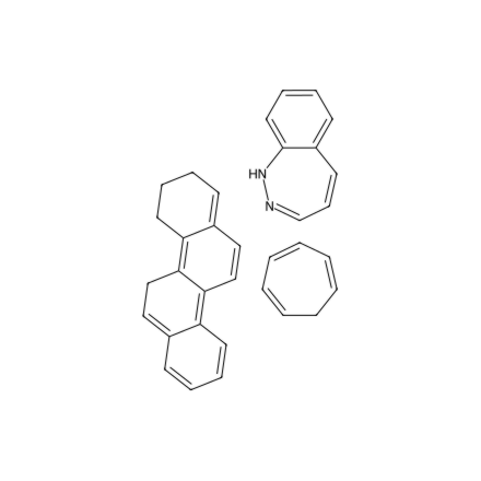 C1=CC=CCC=C1.C1=Cc2ccccc2NN=C1.C1=c2ccc3c(c2CCC1)CC=c1ccccc1=3